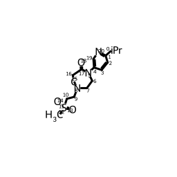 CC(C)c1ccc(N2CCN(CCS(C)(=O)=O)CCC2=O)cn1